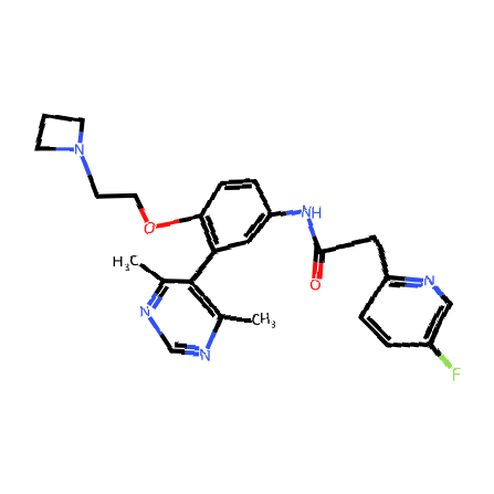 Cc1ncnc(C)c1-c1cc(NC(=O)Cc2ccc(F)cn2)ccc1OCCN1CCC1